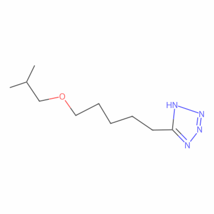 CC(C)COCCCCCc1nnn[nH]1